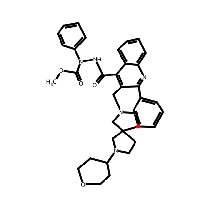 COC(=O)N(NC(=O)c1c(CN2CCC3(CCN(C4CCOCC4)C3)C2)c(-c2ccccc2)nc2ccccc12)c1ccccc1